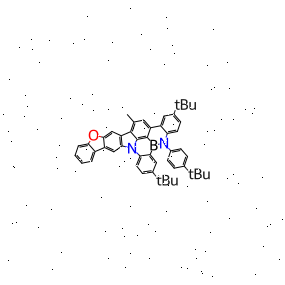 Cc1cc2c3c4c1c1cc5oc6ccccc6c5cc1n4-c1ccc(C(C)(C)C)cc1B3N(c1ccc(C(C)(C)C)cc1)c1ccc(C(C)(C)C)cc1-2